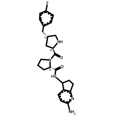 Nc1ccc2c(n1)CCC2NC(=O)[C@@H]1CCCN1C(=O)[C@H]1C[C@H](Cc2ccc(F)cc2)CN1